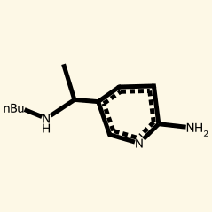 CCCCNC(C)c1ccc(N)nc1